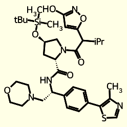 Cc1ncsc1-c1ccc([C@H](CN2CCOCC2)NC(=O)[C@@H]2C[C@@H](O[Si](C)(C)C(C)(C)C)CN2C(=O)C(c2cc(O)no2)C(C)C)cc1